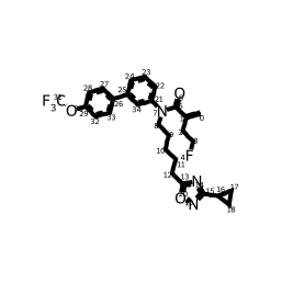 C=C(CCF)C(=O)N(CCCCCc1nc(C2CC2)no1)c1cccc(-c2ccc(OC(F)(F)F)cc2)c1